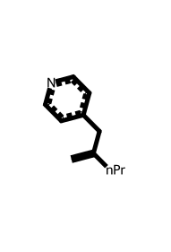 C=C(CCC)Cc1ccncc1